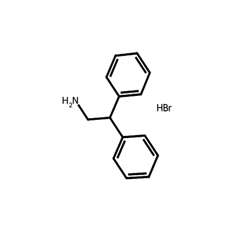 Br.NCC(c1ccccc1)c1ccccc1